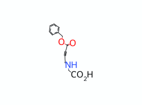 O=C(O)CNCC#CC(=O)OCc1ccccc1